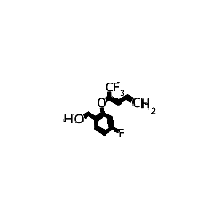 C=CCC(Oc1cc(F)ccc1CO)C(F)(F)F